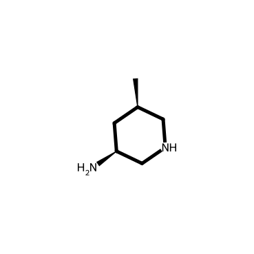 C[C@H]1CNC[C@@H](N)C1